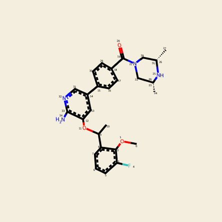 COc1c(F)cccc1C(C)Oc1cc(-c2ccc(C(=O)N3C[C@@H](C)N[C@@H](C)C3)cc2)cnc1N